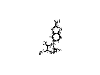 CC(C)C1NC(=S)N(c2ccc3nc(S)sc3c2)C1=O